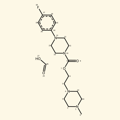 CN1CCN(CCOC(=O)N2CCN(c3ccc(F)cc3)CC2)CC1.O=CO